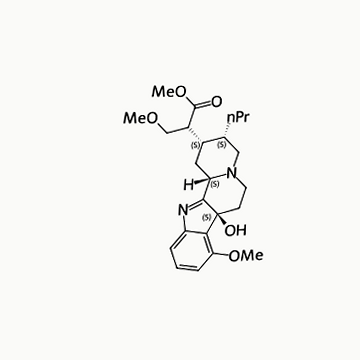 CCC[C@@H]1CN2CC[C@@]3(O)C(=Nc4cccc(OC)c43)[C@@H]2C[C@@H]1C(COC)C(=O)OC